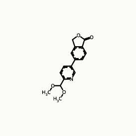 COC(OC)c1ccc(-c2ccc3c(c2)COC3=O)cn1